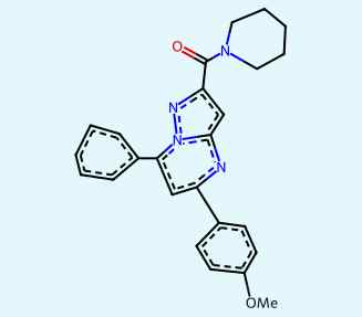 COc1ccc(-c2cc(-c3ccccc3)n3nc(C(=O)N4CCCCC4)cc3n2)cc1